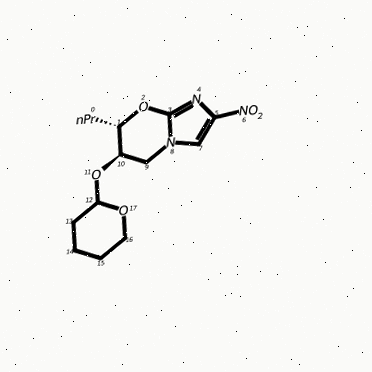 CCC[C@@H]1Oc2nc([N+](=O)[O-])cn2C[C@H]1OC1CCCCO1